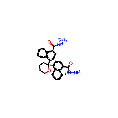 NNC(=O)c1ccc(C2(c3ccc(C(=O)NN)c4ccccc34)CCCCO2)c2ccccc12